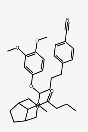 CCCC(=O)N1CC2CCC(C1)C2N(C)C(CCCc1ccc(C#N)cc1)Oc1ccc(OC)c(OC)c1